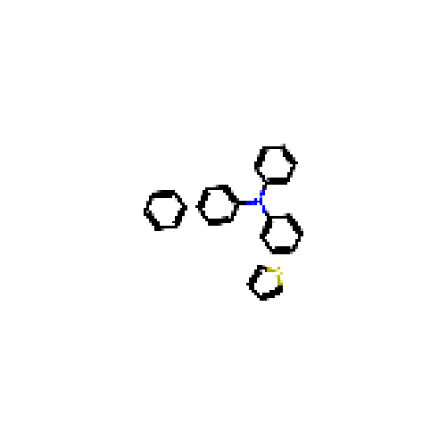 c1ccc(N(c2ccccc2)c2ccccc2)cc1.c1ccccc1.c1ccsc1